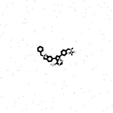 CN(Cc1ccc(-c2cc(-c3ccc4cn(Cc5ccccc5)nc4c3)c3c(N)ncnn23)cc1)S(C)(=O)=O